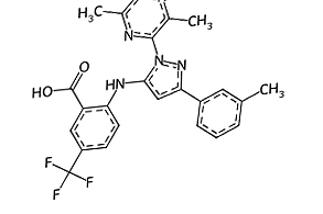 Cc1cccc(-c2cc(Nc3ccc(C(F)(F)F)cc3C(=O)O)n(-c3nc(C)cnc3C)n2)c1